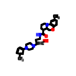 Cc1ccc2c(c1)N1CCCC(C(=O)NCCCN3CCN(c4cccc(C(F)(F)F)c4)CC3)C1CO2.O=CO